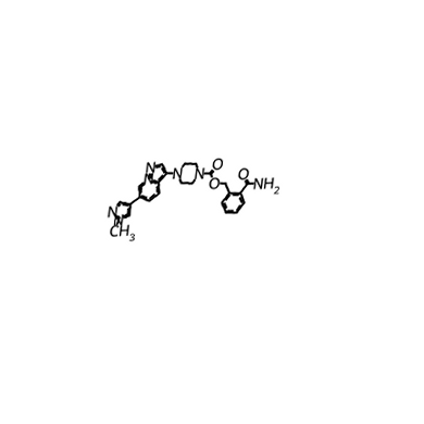 Cn1cc(-c2ccc3c(N4CCN(C(=O)OCc5ccccc5C(N)=O)CC4)cnn3c2)cn1